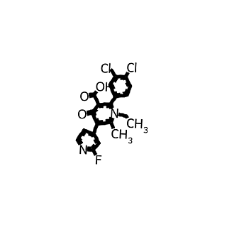 CCn1c(C)c(-c2ccnc(F)c2)c(=O)c(C(=O)O)c1-c1ccc(Cl)c(Cl)c1